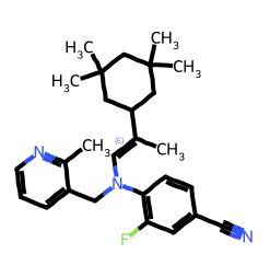 C/C(=C\N(Cc1cccnc1C)c1ccc(C#N)cc1F)C1CC(C)(C)CC(C)(C)C1